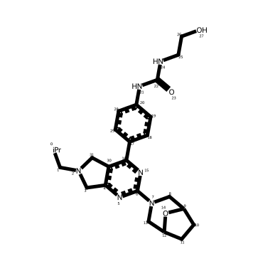 CC(C)CN1Cc2nc(N3CC4CCC(C3)O4)nc(-c3ccc(NC(=O)NCCO)cc3)c2C1